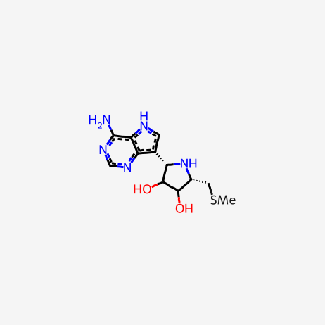 CSC[C@H]1N[C@@H](c2c[nH]c3c(N)ncnc23)C(O)C1O